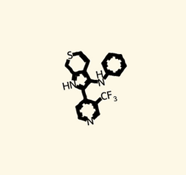 FC(F)(F)c1cnccc1-c1[nH]c2c(c1Nc1ccccc1)C=CSC2